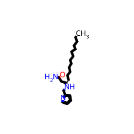 CCCCCCCCCCCCC[C@@H](CC(N)=O)NCc1ccccn1